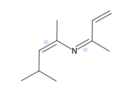 C=C/C(C)=N\C(C)=C/C(C)C